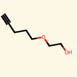 C#CCCCOCCO